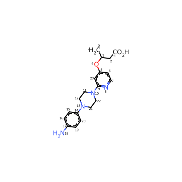 [CH2]C(CC(=O)O)Oc1ccnc(N2CCN(c3ccc(N)cc3)CC2)c1